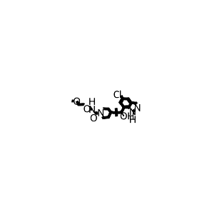 COCCONC(=O)N1CCC(C(C)(C)[C@H](O)c2cc(Cl)cc3cn[nH]c23)CC1